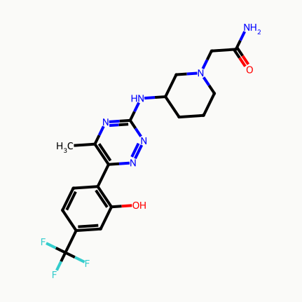 Cc1nc(NC2CCCN(CC(N)=O)C2)nnc1-c1ccc(C(F)(F)F)cc1O